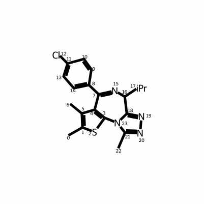 Cc1sc2c(c1C)C(c1ccc(Cl)cc1)=NC(C(C)C)c1nnc(C)n1-2